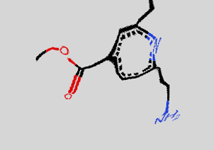 COC(=O)c1cc(C)nc(CN)c1